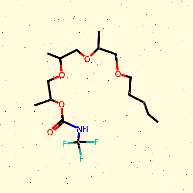 CCCCCOCC(C)OCC(C)OCC(C)OC(=O)NC(F)(F)F